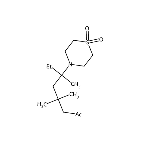 CCC(C)(CC(C)(C)CC(C)=O)N1CCS(=O)(=O)CC1